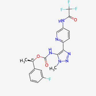 C[C@@H](OC(=O)Nc1c(-c2ccc(NC(=O)C(F)(F)F)cn2)nnn1C)c1cccc(F)c1